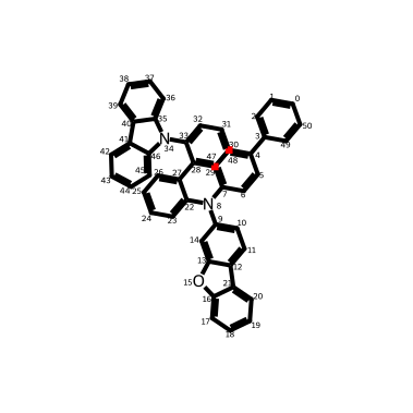 c1ccc(-c2ccc(N(c3ccc4c(c3)oc3ccccc34)c3ccccc3-c3ccccc3-n3c4ccccc4c4ccccc43)cc2)cc1